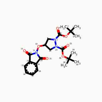 CC(C)(C)OC(=O)N1CC(ON2C(=O)c3ccccc3C2=O)CN1C(=O)OC(C)(C)C